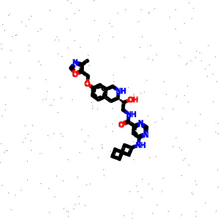 Cc1ncoc1COc1ccc2c(c1)CN[C@H](C(O)CNC(=O)c1cc(NC3CC4(CCC4)C3)ncn1)C2